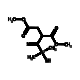 COC(=O)CC(C(=O)OC)C(=S)[N+](C)(C)S